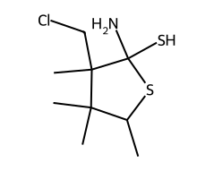 CC1SC(N)(S)C(C)(CCl)C1(C)C